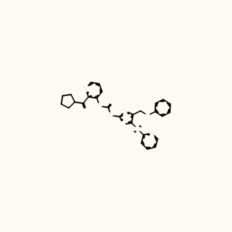 O=C(Nc1nc(CSc2ccccc2)c(S(=O)(=O)c2ccccn2)s1)Nc1cccnc1C(=O)C1CCCC1